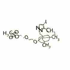 Cc1c(I)cnn1CC12CC3(C)CC(C)(C1)CC(OCCOCCOS(C)(=O)=O)(C3)C2